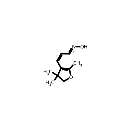 CC1=C(/C=C\C=N\O)C(C)(C)CO1